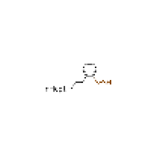 CCCCCCCCCCc1ccccc1SS